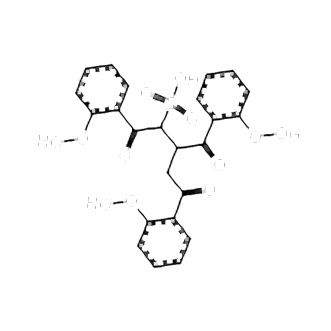 O=C(CC(C(=O)c1ccccc1OO)C(C(=O)c1ccccc1OO)S(=O)(=O)O)c1ccccc1OO